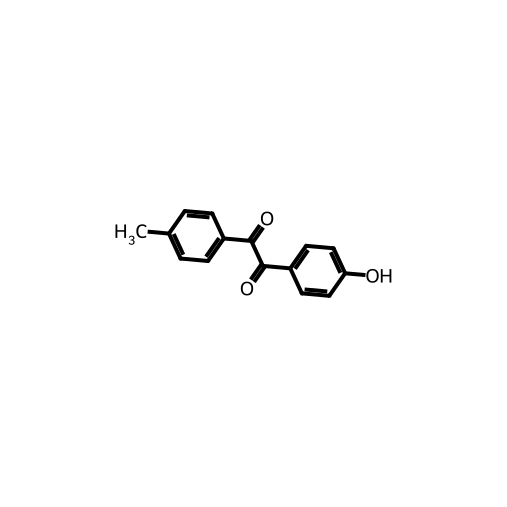 Cc1ccc(C(=O)C(=O)c2ccc(O)cc2)cc1